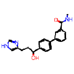 CNC(=O)c1cccc(-c2ccc(C(O)CCc3c[nH]cn3)cc2)c1